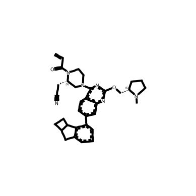 C=CC(=O)N1CCN(c2nc(OC[C@@H]3CCCN3C)nc3cc(-c4cccc5c4C4CCC4C5)ccc23)C[C@@H]1CC#N